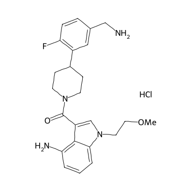 COCCn1cc(C(=O)N2CCC(c3cc(CN)ccc3F)CC2)c2c(N)cccc21.Cl